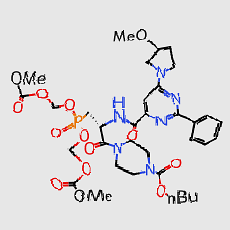 CCCCOC(=O)N1CCN(C(=O)[C@H](CP(=O)(OCOC(=O)OC)OCOC(=O)OC)NC(=O)c2cc(N3CC[C@H](OC)C3)nc(-c3ccccc3)n2)CC1